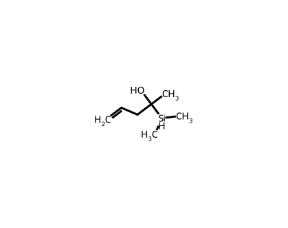 C=CCC(C)(O)[SiH](C)C